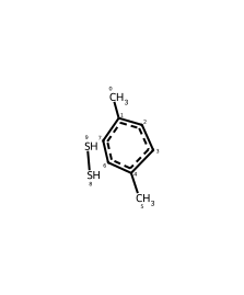 Cc1ccc(C)cc1.SS